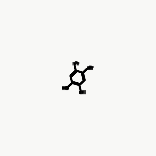 CCCc1cc(O)c(O)cc1CCC